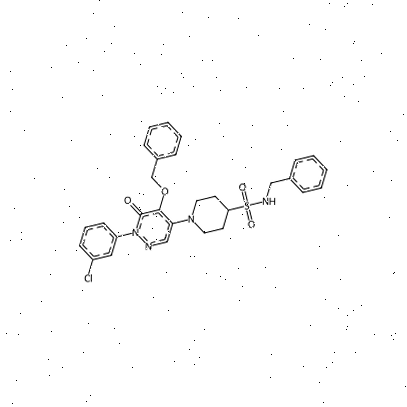 O=c1c(OCc2ccccc2)c(N2CCC(S(=O)(=O)NCc3ccccc3)CC2)cnn1-c1cccc(Cl)c1